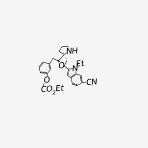 CCOC(=O)COc1cccc(CC(=O)[C@@]2(CCc3cc4ccc(C#N)cc4n3CC)CCCN2)c1